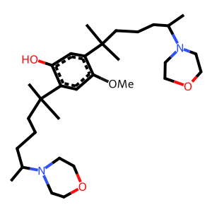 COc1cc(C(C)(C)CCCC(C)N2CCOCC2)c(O)cc1C(C)(C)CCCC(C)N1CCOCC1